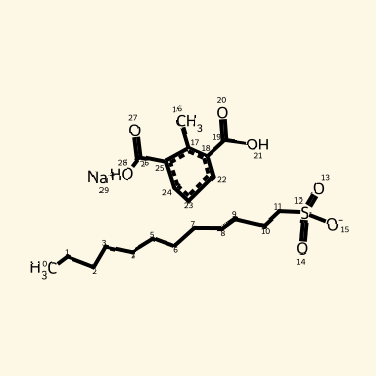 CCCCCCCCCCCCS(=O)(=O)[O-].Cc1c(C(=O)O)cccc1C(=O)O.[Na+]